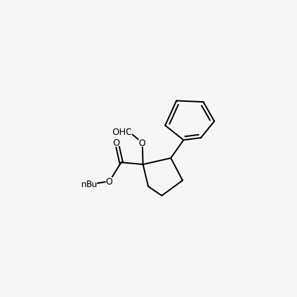 CCCCOC(=O)C1(OC=O)CCCC1c1ccccc1